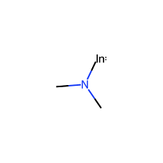 C[N](C)[In]